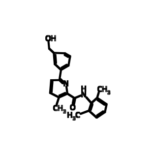 Cc1ccc(-c2cccc(CO)c2)nc1C(=O)Nc1c(C)cccc1C